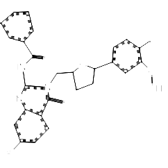 COc1cc(C2CCC(Cn3c(NC(=O)c4ccccc4)nc4cc(Br)ccc4c3=O)O2)ccc1F